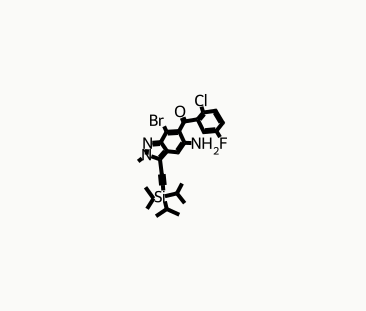 CC(C)[Si](C#Cc1c2cc(N)c(C(=O)c3cc(F)ccc3Cl)c(Br)c2nn1C)(C(C)C)C(C)C